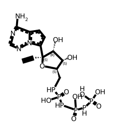 C#C[C@@]1(c2ccc3c(N)ncnn23)O[C@H](CPP(=O)(O)PP(=O)(O)PP(=O)(O)O)[C@@H](O)[C@H]1O